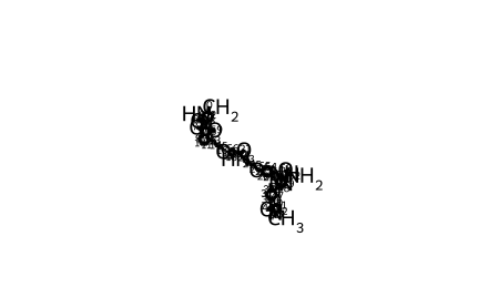 C=C1CCC(N2C(=O)c3cccc(CCCO[C@H]4C[C@@H](C(=O)NCCCOc5ccc(Nc6nc(N7CCC[C@@H](N8CCN(C)C8=O)C7)cnc6C(N)=O)cc5)C4)c3C2=O)C(=O)N1